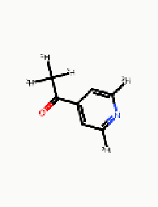 [2H]c1cc(C(=O)C([2H])([2H])[2H])cc([2H])n1